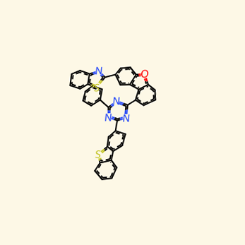 c1ccc(-c2nc(-c3ccc4c(c3)sc3ccccc34)nc(-c3cccc4oc5ccc(-c6nc7ccccc7s6)cc5c34)n2)cc1